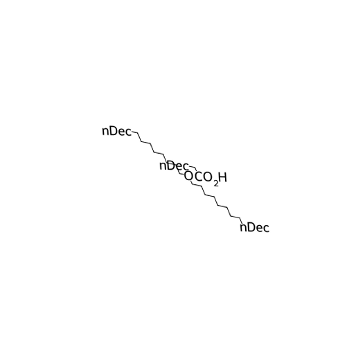 CCCCCCCCCCCC(=O)O.CCCCCCCCCCCCCCCCCCOCCCCCCCCCCCCCCCCCC